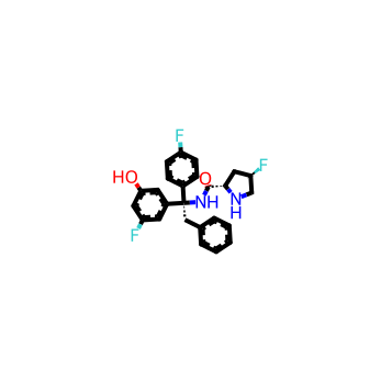 O=C(N[C@](Cc1ccccc1)(c1ccc(F)cc1)c1cc(O)cc(F)c1)[C@@H]1C[C@@H](F)CN1